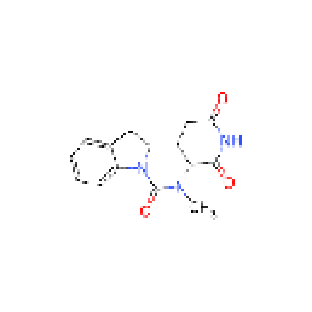 CN(C(=O)N1CCc2ccccc21)[C@@H]1CCC(=O)NC1=O